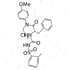 COc1ccc(N(CC(F)(F)F)C(=O)C(Cc2ccccc2)NC(=O)NS(=O)(=O)c2ccccc2C)cc1